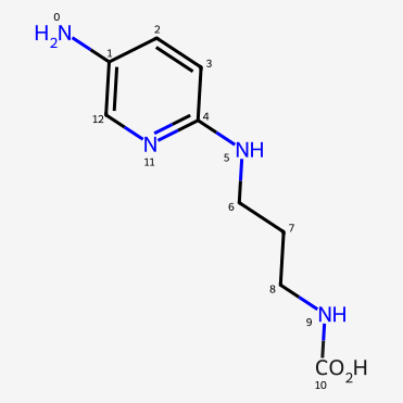 Nc1ccc(NCCCNC(=O)O)nc1